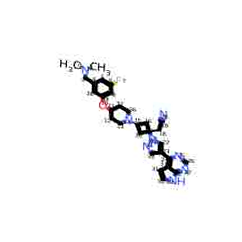 CN(C)Cc1cc(F)cc(OC2CCN([C@H]3C[C@](CC#N)(n4cc(-c5ncnc6[nH]ccc56)cn4)C3)CC2)c1